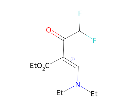 CCOC(=O)/C(=C\N(CC)CC)C(=O)C(F)F